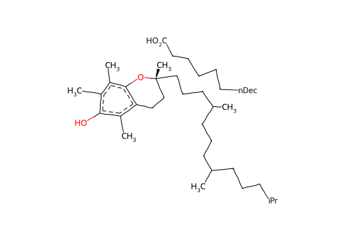 CCCCCCCCCCCCCCCC(=O)O.Cc1c(C)c2c(c(C)c1O)CC[C@@](C)(CCCC(C)CCCC(C)CCCC(C)C)O2